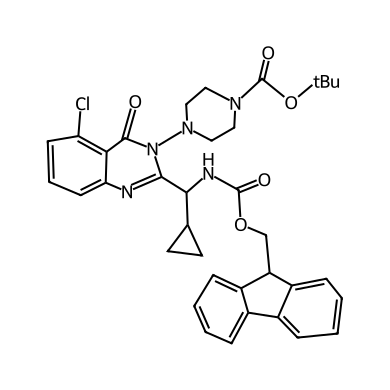 CC(C)(C)OC(=O)N1CCN(n2c(C(NC(=O)OCC3c4ccccc4-c4ccccc43)C3CC3)nc3cccc(Cl)c3c2=O)CC1